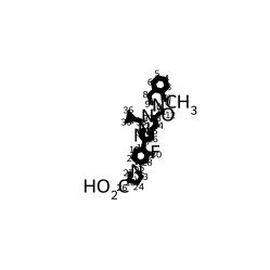 C[C@@H]1c2ccccc2CCN1C(=O)c1cc2cc(-c3ccc(N4CC[C@H](C(=O)O)C4)cc3F)nn2c(C2CC2)n1